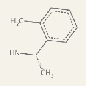 Cc1ccccc1[C@H](C)[NH]